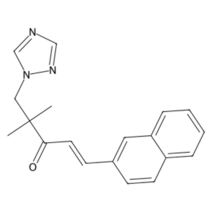 CC(C)(Cn1cncn1)C(=O)C=Cc1ccc2ccccc2c1